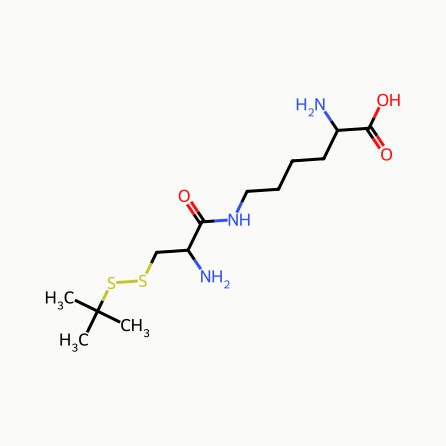 CC(C)(C)SSCC(N)C(=O)NCCCCC(N)C(=O)O